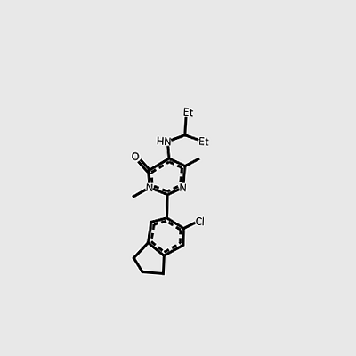 CCC(CC)Nc1c(C)nc(-c2cc3c(cc2Cl)CCC3)n(C)c1=O